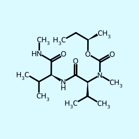 CC[C@@H](C)OC(=O)N(C)[C@H](C(=O)N[C@H](C(=O)NC)C(C)C)C(C)C